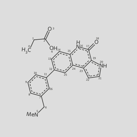 CCC(=O)O.CNCc1cccc(-c2ccc3[nH]c(=O)c4[nH]ccc4c3c2)c1